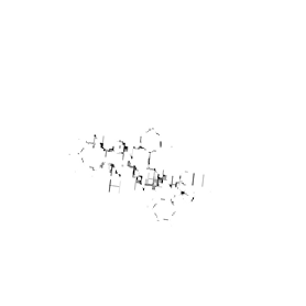 CS(=N)(=O)c1ccccc1-c1nc2c3ccccc3nc(Nc3ccccnc3=O)n2n1